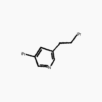 CC(C)CCc1cncc(C(C)C)c1